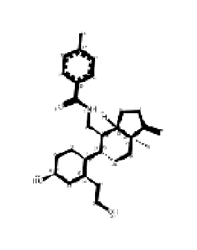 C=C1CC[C@H]2[C@H](CNC(=O)c3ccc(C)cc3)[C@@H]([C@@H]3CC[C@H](O)C[C@@H]3CCO)CC[C@]12C